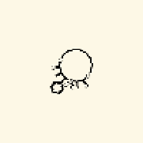 C=C1C(=O)OCCCCCCCCOC(=O)C(C)S(=O)(=O)C1c1ccccc1